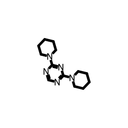 c1nc(N2CCCCC2)nc(N2CCCCC2)n1